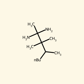 CCCCC(C)C(C)(C)C(C)(N)N